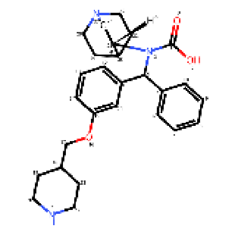 O=C(O)N(C(c1ccccc1)c1cccc(OCC2CCNCC2)c1)[C@H]1CN2CCC1CC2